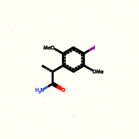 COc1cc(C(C)C(N)=O)c(OC)cc1I